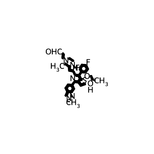 C[C@@H](O)COc1cc(F)cc(F)c1-c1c(-c2cc3n(n2)CCN(C=CC=O)[C@H]3C)nc(-c2ccc3cn(C)nc3c2)c2ccsc12